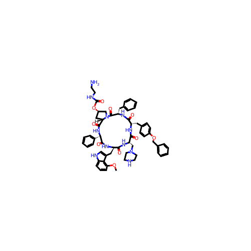 COc1cccc2[nH]cc(C[C@H]3NC(=O)[C@H](c4ccccc4)NC(=O)[C@@H]4C[C@@H](OC(=O)NCCN)CN4C(=O)[C@H](Cc4ccccc4)NC(=O)[C@H](Cc4ccc(OCc5ccccc5)cc4)NC(=O)[C@H](CN4CCNCC4)NC3=O)c12